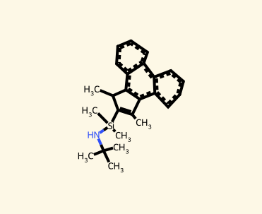 CC1=C([Si](C)(C)NC(C)(C)C)C(C)c2c1c1ccccc1c1ccccc21